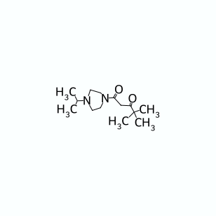 CC(C)N1CCN(C(=O)CC(=O)C(C)(C)C)CC1